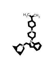 CC(C)C1CCC(N2CCC(n3c(CN(CC4CC4)CC4CC4)cc4ccccc43)CC2)CC1